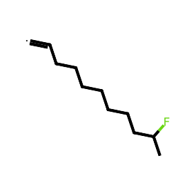 [CH]=CCCCCCCCC(C)F